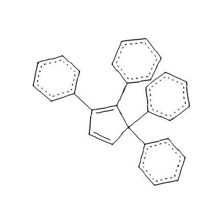 C1=CC(c2ccccc2)(c2ccccc2)C(c2ccccc2)=C1c1ccccc1